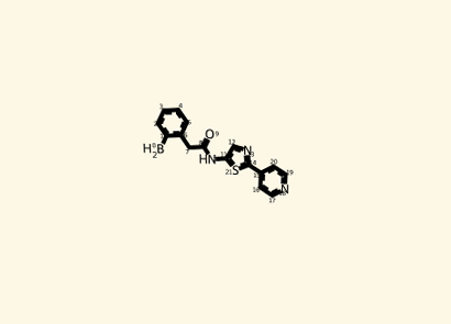 Bc1ccccc1CC(=O)Nc1cnc(-c2ccncc2)s1